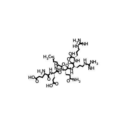 CSCC[C@H](NC(=O)[C@H](CCC(=O)O)NC(=O)[C@@H](N)CCC(=O)O)C(=O)N[C@@H](CCC(N)=O)C(=O)N[C@@H](CCCNC(=N)N)C(=O)N[C@@H](CCCNC(=N)N)C(=O)O